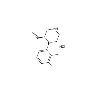 C=C[C@H]1CNCCN1c1cccc(F)c1F.Cl